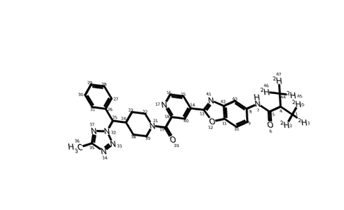 [2H]C([2H])([2H])C(C(=O)Nc1ccc2oc(-c3ccnc(C(=O)N4CCC(C(c5ccccc5)n5nnc(C)n5)CC4)c3)nc2c1)C([2H])([2H])[2H]